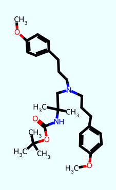 COc1ccc(CCCN(CCCc2ccc(OC)cc2)CC(C)(C)NC(=O)OC(C)(C)C)cc1